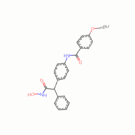 CCCCOc1ccc(C(=O)Nc2ccc(C(C(=O)NO)c3ccccc3)cc2)cc1